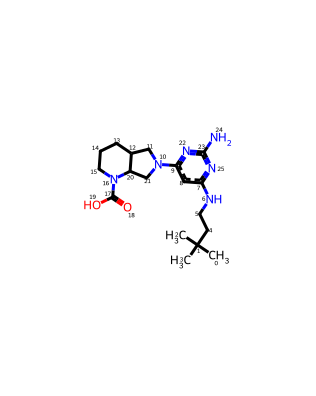 CC(C)(C)CCNc1cc(N2CC3CCCN(C(=O)O)C3C2)nc(N)n1